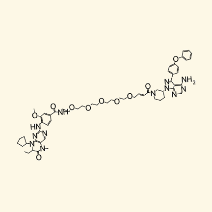 CCC1C(=O)N(C)c2cnc(Nc3ccc(C(=O)NCCOCCOCCOCCOCCOC/C=C/C(=O)N4CCC[C@@H](n5nc(-c6ccc(Oc7ccccc7)cc6)c6c(N)ncnc65)C4)cc3OC)nc2N1C1CCCC1